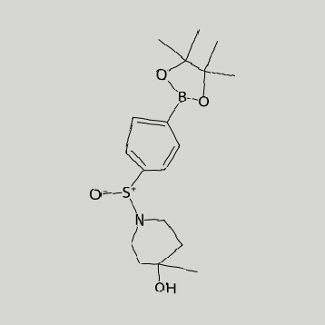 CC1(O)CCN([S+]([O-])c2ccc(B3OC(C)(C)C(C)(C)O3)cc2)CC1